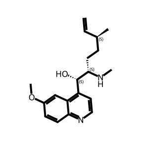 C=C[C@@H](C)CC[C@H](NC)[C@@H](O)c1ccnc2ccc(OC)cc12